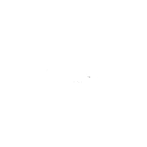 CCOC(=O)[C@H](Cc1ccc(OC(C)=O)cc1)NC(C)=O